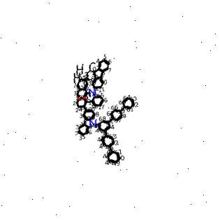 CC1(C)c2ccccc2-c2ccc(N(c3ccccc3-c3ccccc3-c3ccc4c(c3)c3ccccc3n4-c3cc(-c4ccc(-c5ccccc5)cc4)cc(-c4ccc(-c5ccccc5)cc4)c3)c3cccc4ccccc34)cc21